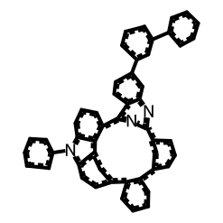 c1ccc(-c2cccc(-c3ccc4c(c3)nc3nc4c4cccc5c4c4cc(ccc4n5-c4ccccc4)c4ccccc4c4cccc3c4)c2)cc1